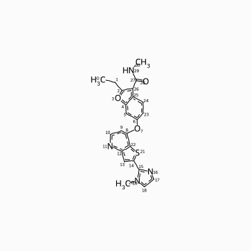 CCc1oc2cc(Oc3ccnc4cc(-c5nccn5C)sc34)ccc2c1C(=O)NC